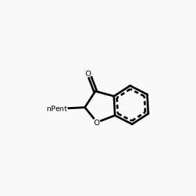 CCCCCC1Oc2ccccc2C1=O